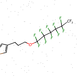 FC(F)(F)C(F)(F)C(F)(F)C(F)(F)C(F)(F)C(F)(F)OCCCc1ccsc1